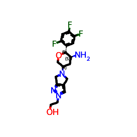 N[C@H]1C[C@@H](N2Cc3cn(CCO)nc3C2)CO[C@@H]1c1cc(F)c(F)cc1F